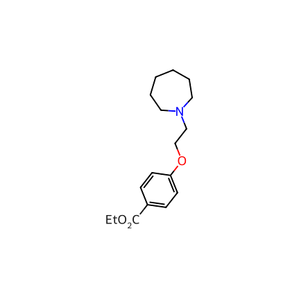 CCOC(=O)c1ccc(OCCN2CCCCCC2)cc1